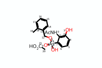 CC(=O)Nc1c(O)cccc1[As](=O)(O)OCc1ccccc1C.CC(=O)O